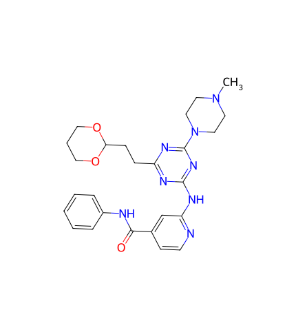 CN1CCN(c2nc(CCC3OCCCO3)nc(Nc3cc(C(=O)Nc4ccccc4)ccn3)n2)CC1